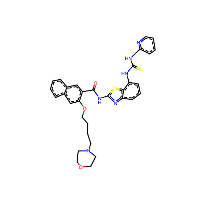 O=C(Nc1nc2cccc(NC(=S)Nc3ccccn3)c2s1)c1cc2ccccc2cc1OCCCCN1CCOCC1